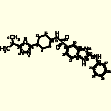 CC(C)c1nnc(C2CCC(NS(=O)(=O)c3ccc4[nH]c(Nc5ccccc5)nc4c3)CC2)o1